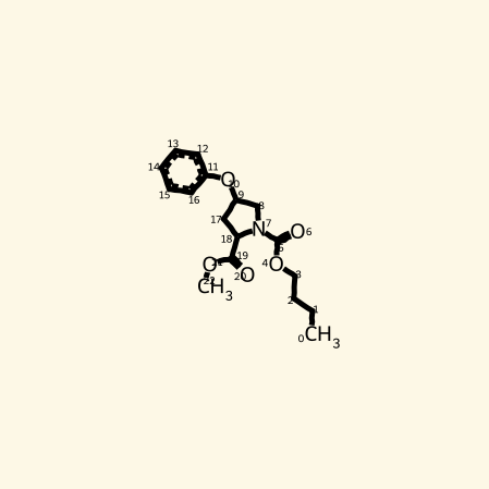 CCCCOC(=O)N1CC(Oc2ccccc2)CC1C(=O)OC